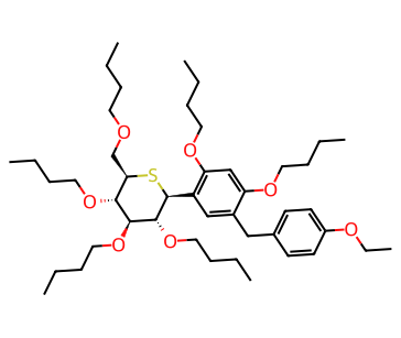 CCCCOC[C@H]1S[C@@H](c2cc(Cc3ccc(OCC)cc3)c(OCCCC)cc2OCCCC)[C@H](OCCCC)[C@@H](OCCCC)[C@@H]1OCCCC